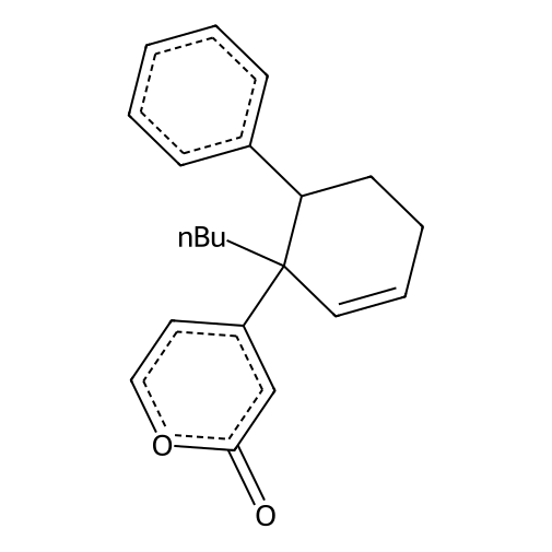 CCCCC1(c2ccoc(=O)c2)C=CCCC1c1ccccc1